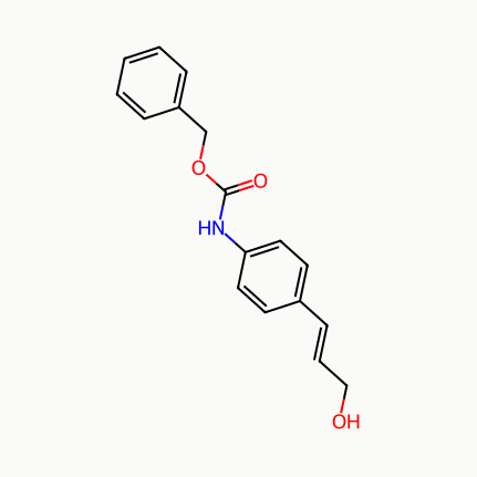 O=C(Nc1ccc(/C=C/CO)cc1)OCc1ccccc1